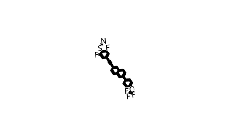 N#CSc1c(F)cc(C#Cc2ccc3cc(-c4ccc(OC(F)(F)F)cc4)ccc3c2)cc1F